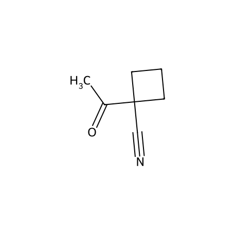 CC(=O)C1(C#N)CCC1